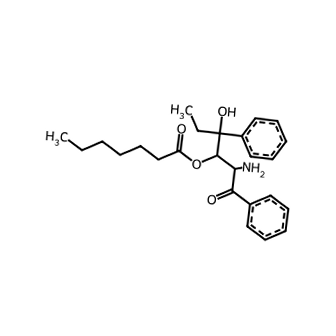 CCCCCCC(=O)OC(C(N)C(=O)c1ccccc1)C(O)(CC)c1ccccc1